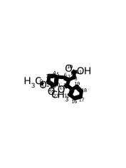 COc1ccc(C=C(CC(=O)O)C(=O)c2ccccc2)cc1OC